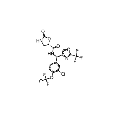 O=C1NC[C@@H](C(=O)N[C@H](c2ccc(OC(F)(F)F)c(Cl)c2)c2coc(C(F)(F)F)n2)O1